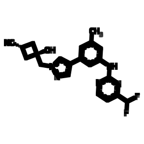 Cc1cc(Nc2nccc(C(F)F)n2)cc(-c2cnn(C[C@]3(O)C[C@H](C#N)C3)c2)c1